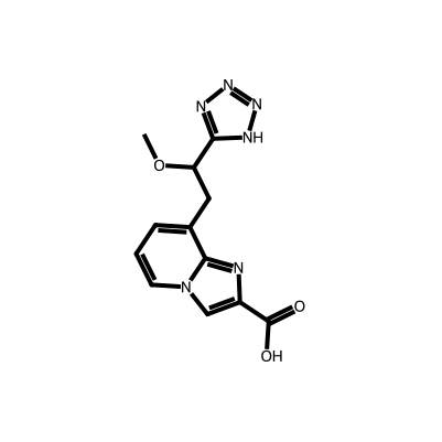 COC(Cc1cccn2cc(C(=O)O)nc12)c1nnn[nH]1